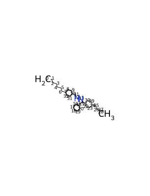 C=CCCCCCc1ccc(C=NN=C(c2ccccc2)C2CCC(CCCC)CC2)cc1